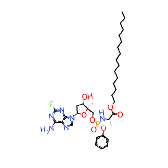 CCCCCCCCCCCCCCCCOC(=O)[C@H](C)NP(=O)(OC[C@@]1(C)O[C@@H](n2cnc3c(N)nc(F)nc32)C[C@@H]1O)Oc1ccccc1